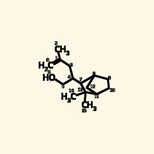 C=C(C)CC(CO)C1C2CCC(C2)C1(C)C